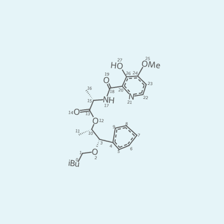 CCC(C)CO[C@@H](c1ccccc1)[C@H](C)OC(=O)[C@H](C)NC(=O)c1nccc(OC)c1O